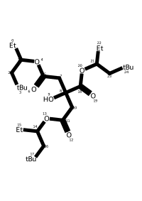 CCC(CC(C)(C)C)OC(=O)CC(O)(CC(=O)OC(CC)CC(C)(C)C)C(=O)OC(CC)CC(C)(C)C